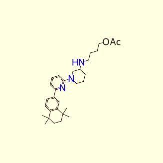 CC(=O)OCCCCNC1CCCN(c2cccc(-c3ccc4c(c3)C(C)(C)CCC4(C)C)n2)C1